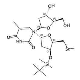 C[Se]C[C@@H]1O[C@@H]([N+]2([C@H]3C[C@H](O)[C@@H](CO)O3)C=C(C)C(=O)NC2=O)C[C@@H]1O[Si](C)(C)C(C)(C)C